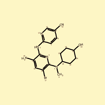 CN(c1nc(Nc2ccc(C#N)cn2)c(N)cc1Br)C1CCC(O)CC1